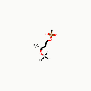 CC[Si](CC)(CC)O[C@@H](CCOS(C)(=O)=O)C(F)(F)F